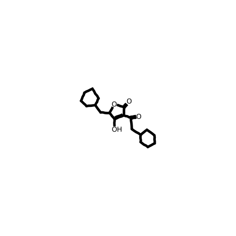 O=C(CC1CCCCC1)C1=C(O)C(CC2CCCCC2)OC1=O